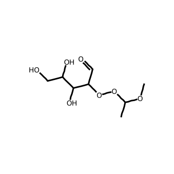 COC(C)OOC(C=O)C(O)C(O)CO